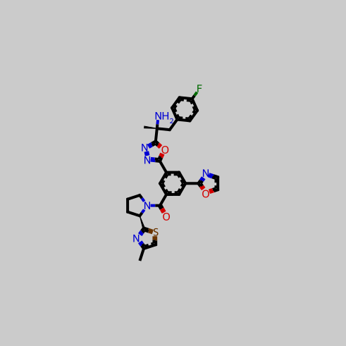 Cc1csc([C@H]2CCCN2C(=O)c2cc(-c3ncco3)cc(-c3nnc([C@](C)(N)Cc4ccc(F)cc4)o3)c2)n1